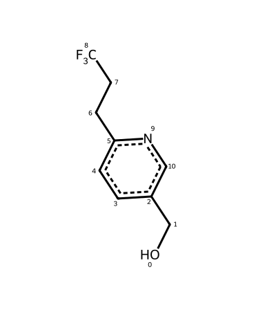 OCc1ccc(CCC(F)(F)F)nc1